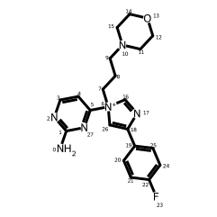 Nc1nccc([N+]2(CCCN3CCOCC3)C=NC(c3ccc(F)cc3)=C2)n1